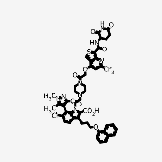 Cc1nn(C)c(C)c1-c1c(Cl)ccc2c(CCCOc3cccc4ccccc34)c(C(=O)O)n(CCN3CCN(C(=O)COc4cc(C(F)(F)F)nc5c(C(=O)NC6CCC(=O)NC6=O)scc45)CC3)c12